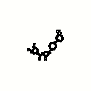 O=C([C@@H]1C[C@H](N2CCN(c3cccc(C(F)(F)F)c3)CC2)CN1)N1C[C@@H](F)[C@@H](F)C1